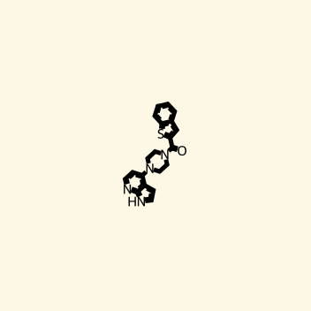 O=C(c1cc2ccccc2s1)N1CCN(c2ccnc3[nH]ccc23)CC1